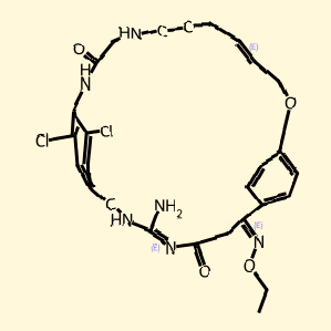 CCO/N=C1\CC(=O)/N=C(\N)NCc2cc(Cl)c(c(Cl)c2)NC(=O)CNCCC/C=C/COc2ccc1cc2